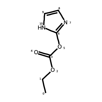 CCOC(=O)Oc1ncc[nH]1